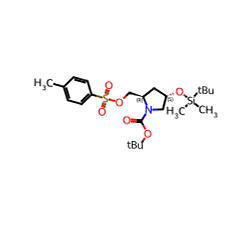 Cc1ccc(S(=O)(=O)OC[C@H]2C[C@H](O[Si](C)(C)C(C)(C)C)CN2C(=O)OC(C)(C)C)cc1